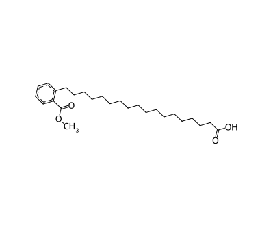 COC(=O)c1ccccc1CCCCCCCCCCCCCCCCCC(=O)O